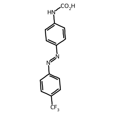 O=C(O)Nc1ccc(N=Nc2ccc(C(F)(F)F)cc2)cc1